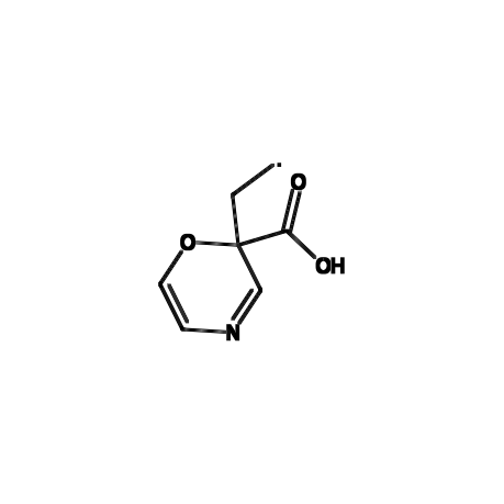 [CH2]CC1(C(=O)O)C=NC=CO1